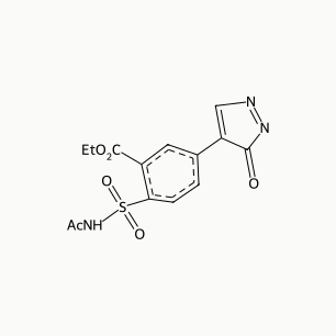 CCOC(=O)c1cc(C2=CN=NC2=O)ccc1S(=O)(=O)NC(C)=O